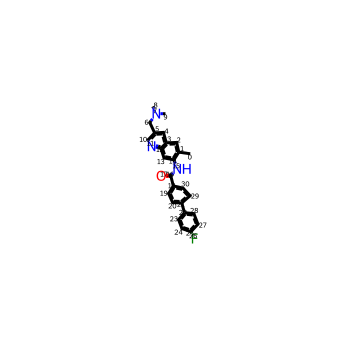 Cc1cc2cc(CN(C)C)cnc2cc1NC(=O)c1ccc(-c2ccc(F)cc2)cc1